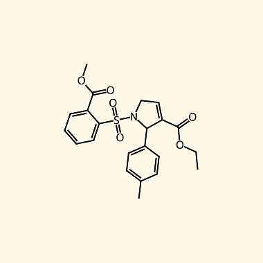 CCOC(=O)C1=CCN(S(=O)(=O)c2ccccc2C(=O)OC)C1c1ccc(C)cc1